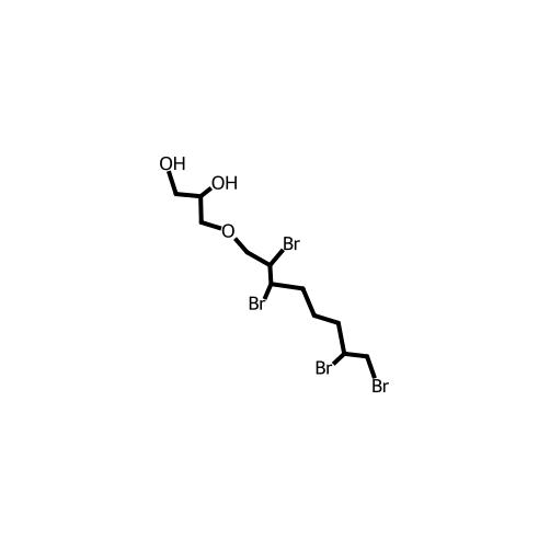 OCC(O)COCC(Br)C(Br)CCCC(Br)CBr